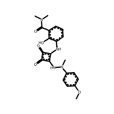 COc1ccc(N(C)Nc2c(Nc3cccc(C(=O)N(C)C)c3O)c(=O)c2=O)cc1